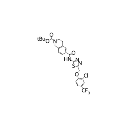 CC(C)(C)OC(=O)N1CCc2cc(C(=O)Nc3nnc(COc4ccc(C(F)(F)F)cc4Cl)s3)ccc2C1